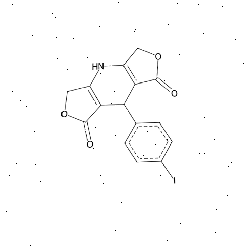 O=C1OCC2=C1C(c1ccc(I)cc1)C1=C(COC1=O)N2